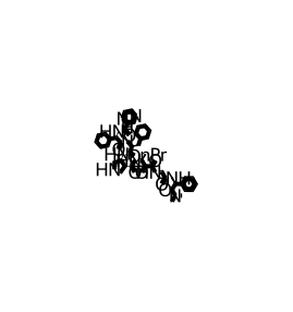 CCC[C@H](NC(=O)[C@@H]1CNC[C@@H]1NC(=O)[C@H](CC1CCCCC1)NC(=O)[C@@H](NC(=O)c1cnccn1)C1CCCCC1)C(=O)C(=O)NCC(=O)N[C@H](C(=O)N(C)C)c1ccccc1